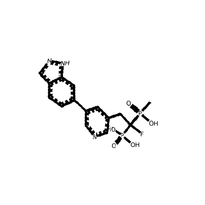 CP(=O)(O)C(F)(Cc1cncc(-c2ccc3cn[nH]c3c2)c1)P(=O)(O)O